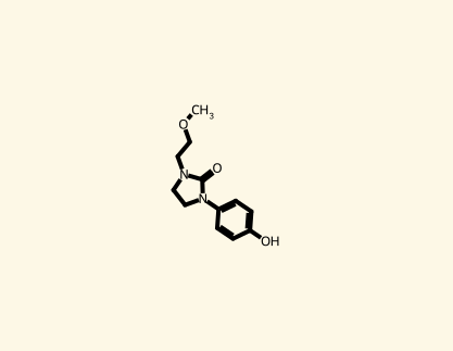 COCCN1CCN(c2ccc(O)cc2)C1=O